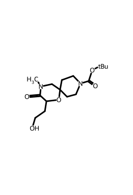 CN1CC2(CCN(C(=O)OC(C)(C)C)CC2)OC(CCO)C1=O